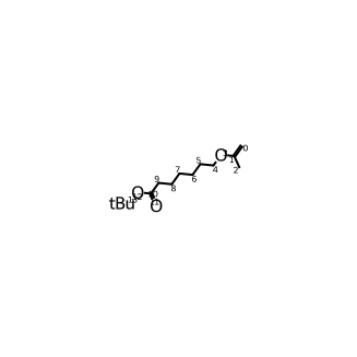 C=C(C)OCCCCCCC(=O)OC(C)(C)C